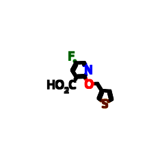 O=C(O)c1cc(F)cnc1OCc1ccsc1